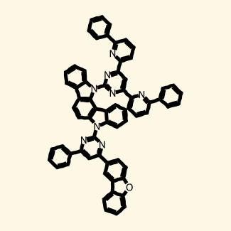 c1ccc(-c2cccc(-c3cc(-c4cccc(-c5ccccc5)n4)nc(-n4c5ccccc5c5ccc6c(c7ccccc7n6-c6nc(-c7ccccc7)cc(-c7ccc8oc9ccccc9c8c7)n6)c54)n3)n2)cc1